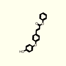 O=C(C=Cc1ccc(Oc2ccc(O)cc2)cc1)Oc1ccccc1